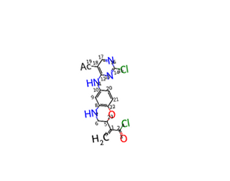 C=C(C(=O)Cl)C1CNc2cc(Nc3nc(Cl)ncc3C(C)=O)ccc2O1